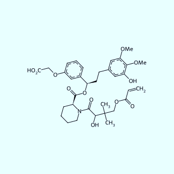 C=CC(=O)OCC(C)(C)C(O)C(=O)N1CCCC[C@H]1C(=O)O[C@H](CCc1cc(O)c(OC)c(OC)c1)c1cccc(OCC(=O)O)c1